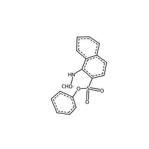 O=[C]Nc1c(S(=O)(=O)Oc2ccccc2)ccc2ccccc12